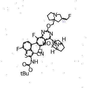 CC(C)(C)OC(=O)Nc1sc2c(F)ccc(-c3c(Cl)cc4c(N5C[C@H]6CC[C@@H](C5)N6C(=O)O)nc(OC[C@@]56CCCN5C/C(=C\F)C6)nc4c3F)c2c1C#N